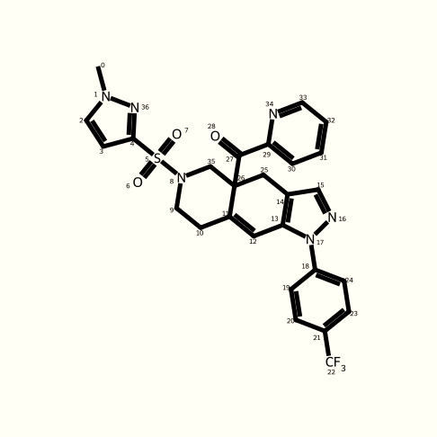 Cn1ccc(S(=O)(=O)N2CCC3=Cc4c(cnn4-c4ccc(C(F)(F)F)cc4)CC3(C(=O)c3ccccn3)C2)n1